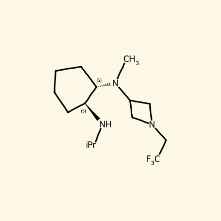 CC(C)N[C@H]1CCCC[C@@H]1N(C)C1CN(CC(F)(F)F)C1